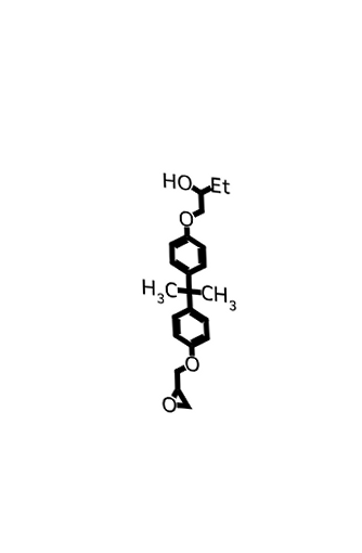 [CH2-][CH+]C(O)COc1ccc(C(C)(C)c2ccc(OCC3CO3)cc2)cc1